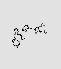 CCN(Cc1ccncc1)C(=O)c1ccc(-c2cc(C(F)(F)F)n(C)n2)s1